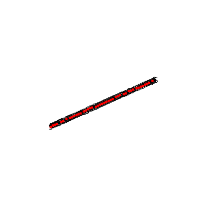 S=S=S=S=S=S=S=S=S=S=S=S=S=S=S=S=S=S=S=S=S=S=S=S=S=S=S=S=S=S=S=S=S=S=S=S=S=S=S=S=S=S=S=S=S=S=S=S=S=S=S=S=S=S=S=S=S=S=S=S=S=S=S=S=S=S=S=S=S=S=S=S=S=S=S=S=S=S=S=S=S=S=S=S=S=S=S=S=S=S=S=S=S=S=S=S=S=S=S